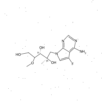 COC(CO)[C@H](O)[C@](C)(O)Cn1cc(F)c2c(N)ncnc21